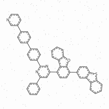 c1ccc(-c2cc(-c3ccc(-c4ccc5sc6ccccc6c5c4)c4oc5ccccc5c34)nc(-c3ccc(-c4ccc(-c5cccnc5)cc4)cc3)n2)cc1